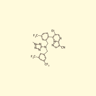 CCc1cnc2c(C#N)cnn2c1-c1ccc(C(F)(F)F)cc1CN(Cc1cc(C(F)(F)F)cc(C(F)(F)F)c1)c1nnn(C)n1